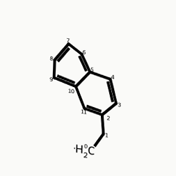 [CH2]Cc1ccc2ccccc2c1